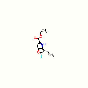 CCOC(=O)c1cc2oc(F)c(CC)c2[nH]1